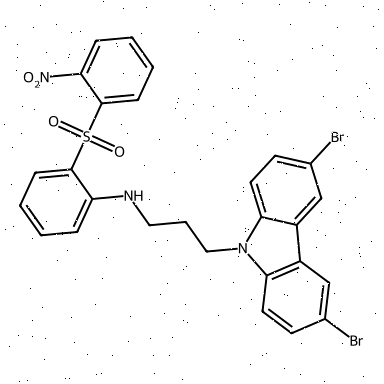 O=[N+]([O-])c1ccccc1S(=O)(=O)c1ccccc1NCCCn1c2ccc(Br)cc2c2cc(Br)ccc21